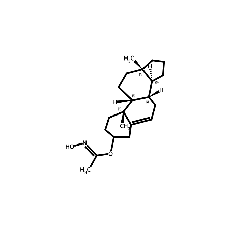 CC(=NO)OC1CC[C@@]2(C)C(=CC[C@@H]3[C@H]2CC[C@]2(C)[CH]CC[C@@H]32)C1